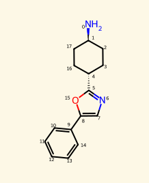 N[C@H]1CC[C@H](c2ncc(-c3ccccc3)o2)CC1